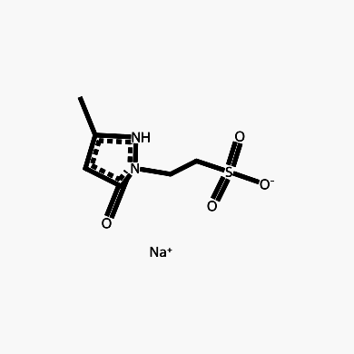 Cc1cc(=O)n(CCS(=O)(=O)[O-])[nH]1.[Na+]